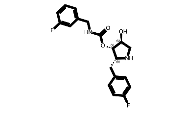 O=C(NCc1cccc(F)c1)O[C@@H]1[C@@H](O)CN[C@@H]1Cc1ccc(F)cc1